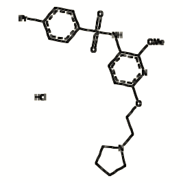 COc1nc(OCCN2CCCC2)ccc1NS(=O)(=O)c1ccc(C(C)C)cc1.Cl